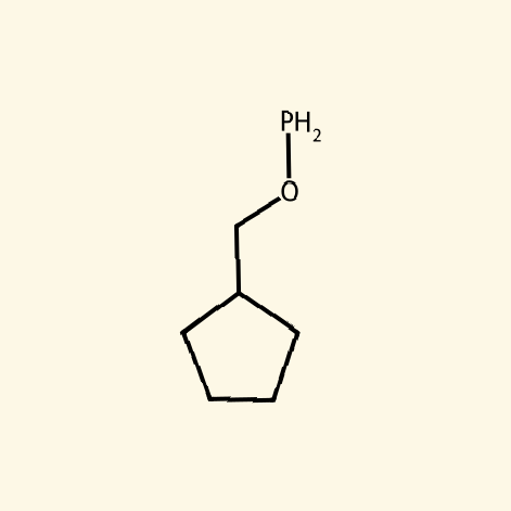 POCC1CCCC1